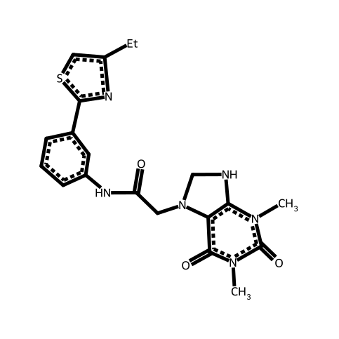 CCc1csc(-c2cccc(NC(=O)CN3CNc4c3c(=O)n(C)c(=O)n4C)c2)n1